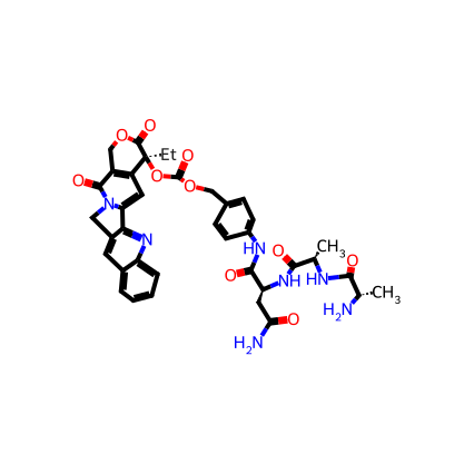 CC[C@@]1(OC(=O)OCc2ccc(NC(=O)[C@H](CC(N)=O)NC(=O)[C@H](C)NC(=O)[C@H](C)N)cc2)C(=O)OCc2c1cc1n(c2=O)Cc2cc3ccccc3nc2-1